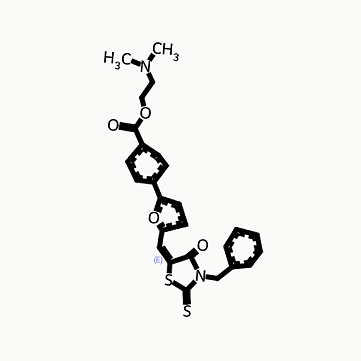 CN(C)CCOC(=O)c1ccc(-c2ccc(/C=C3/SC(=S)N(Cc4ccccc4)C3=O)o2)cc1